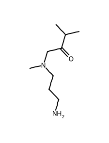 CC(C)C(=O)CN(C)CCCN